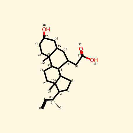 C=C[C@@H](C)C1CCC2C3C(CC(=O)O)CC4CC(O)CCC4(C)C3CCC21C